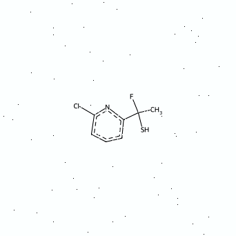 CC(F)(S)c1cccc(Cl)n1